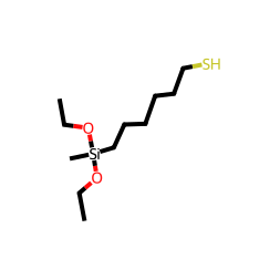 CCO[Si](C)(CCCCCCS)OCC